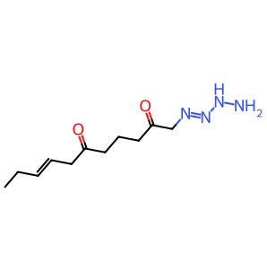 CCC=CCC(=O)CCCC(=O)CN=NNN